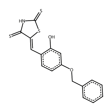 Oc1cc(OCc2ccccc2)ccc1C=C1SC(=S)NC1=S